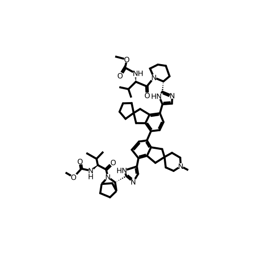 COC(=O)N[C@H](C(=O)N1CCCC[C@@H]1c1ncc(-c2ccc(-c3ccc(-c4cnc([C@@H]5C6CCC(C6)N5C(=O)[C@@H](NC(=O)OC)C(C)C)[nH]4)c4c3CC3(CCN(C)CC3)C4)c3c2CC2(CCCC2)C3)[nH]1)C(C)C